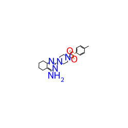 Cc1ccc(S(=O)(=O)N2CCN(c3nc(N)c4c(n3)CCCC4)CC2)cc1